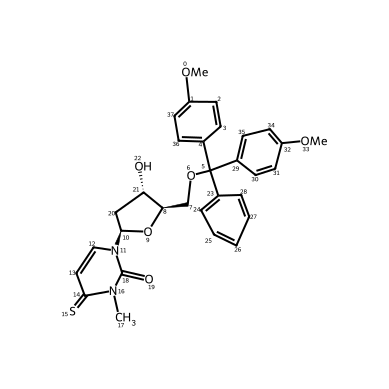 COc1ccc(C(OC[C@H]2O[C@@H](n3ccc(=S)n(C)c3=O)C[C@@H]2O)(c2ccccc2)c2ccc(OC)cc2)cc1